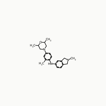 Cc1cc(N2CC(C)OC(C)C2)ccc1Nc1ccc2c(c1)CN(C)C2